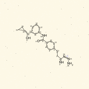 N=C(CSc1ccc(C(=O)Nc2cccc(C(O)=C3CC3)c2)cc1)/N=N\N